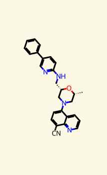 C[C@@H]1CN(c2ccc(C#N)c3ncccc23)C[C@H](CNc2ccc(-c3ccccc3)cn2)O1